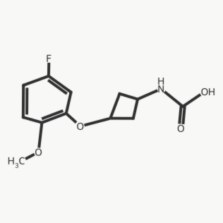 COc1ccc(F)cc1OC1CC(NC(=O)O)C1